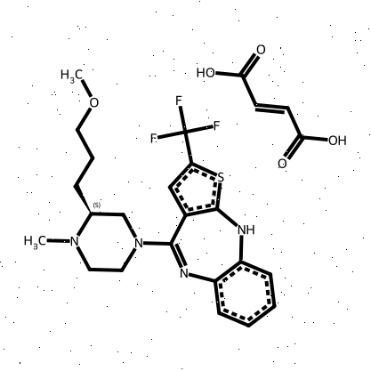 COCCC[C@H]1CN(C2=Nc3ccccc3Nc3sc(C(F)(F)F)cc32)CCN1C.O=C(O)C=CC(=O)O